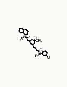 CCN1/C(=C/C=C/C2=CC(=C/c3sc4ccc5ccccc5c4[n+]3C)/CC(C)(C)C2)Oc2ccc(Cl)cc21